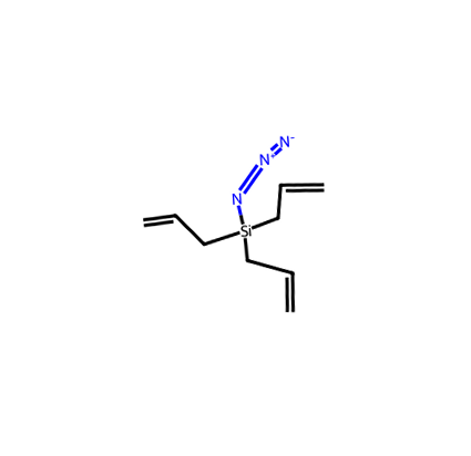 C=CC[Si](CC=C)(CC=C)N=[N+]=[N-]